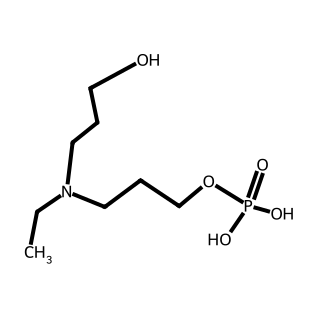 CCN(CCCO)CCCOP(=O)(O)O